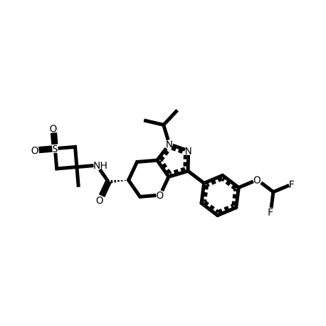 CC(C)n1nc(-c2cccc(OC(F)F)c2)c2c1C[C@@H](C(=O)NC1(C)CS(=O)(=O)C1)CO2